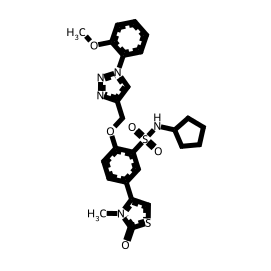 COc1ccccc1-n1cc(COc2ccc(-c3csc(=O)n3C)cc2S(=O)(=O)NC2CCCC2)nn1